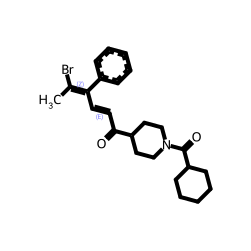 C/C(Br)=C(\C=C\C(=O)C1CCN(C(=O)C2CCCCC2)CC1)c1ccccc1